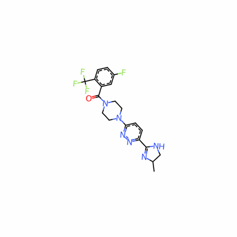 CC1CNC(c2ccc(N3CCN(C(=O)c4cc(F)ccc4C(F)(F)F)CC3)nn2)=N1